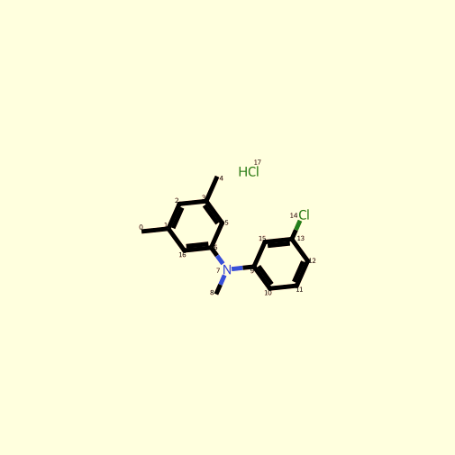 Cc1cc(C)cc(N(C)c2cccc(Cl)c2)c1.Cl